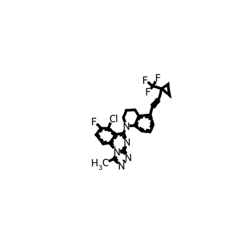 Cc1nnc2nc(N3CCCc4c(C#CC5(C(F)(F)F)CC5)cccc43)c3c(Cl)c(F)ccc3n12